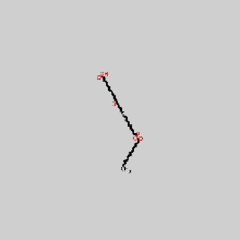 CCCCCCCCCCCCCC(=O)OC(=O)CCCCCCCCCCCCCCC(=O)CCCCCCCCCCCC(=O)O